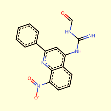 N=C(NC=O)Nc1cc(-c2ccccc2)nc2c([N+](=O)[O-])cccc12